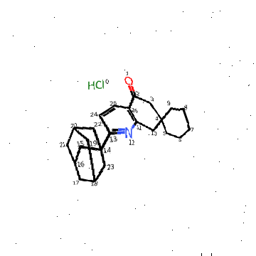 Cl.O=C1CC2(CCCCC2)Cc2nc(C34CC5CC(CC(C5)C3)C4)ccc21